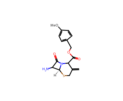 C=C1CS[C@H]2C(N)C(=O)N2C1C(=O)OCc1ccc(OC)cc1